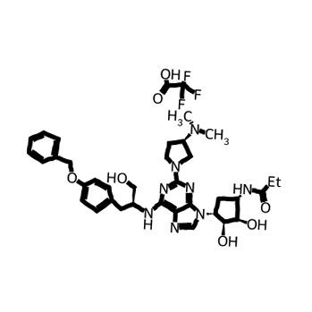 CCC(=O)N[C@H]1C[C@@H](n2cnc3c(N[C@H](CO)Cc4ccc(OCc5ccccc5)cc4)nc(N4CC[C@@H](N(C)C)C4)nc32)[C@H](O)[C@@H]1O.O=C(O)C(F)(F)F